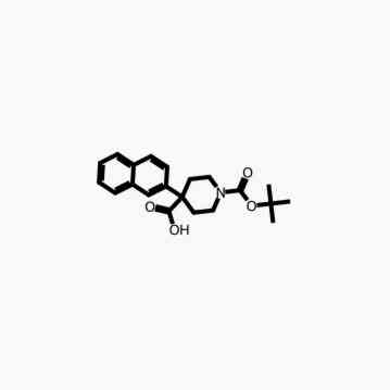 CC(C)(C)OC(=O)N1CCC(C(=O)O)(c2ccc3ccccc3c2)CC1